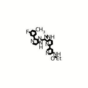 CCC(=O)Nc1cncc(-c2ccc3[nH]nc(-c4nc5c(-c6cc(C)cc(F)c6)nccc5[nH]4)c3n2)c1